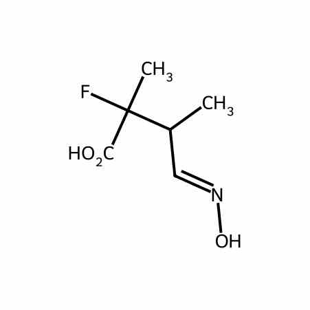 CC(C=NO)C(C)(F)C(=O)O